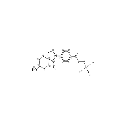 O=C1N(c2ccc(OCCC(F)(F)F)cc2)CCC12CCC(O)CC2